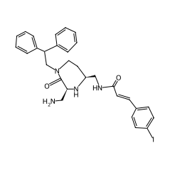 NC[C@@H]1N[C@H](CNC(=O)/C=C/c2ccc(I)cc2)CCN(CC(c2ccccc2)c2ccccc2)C1=O